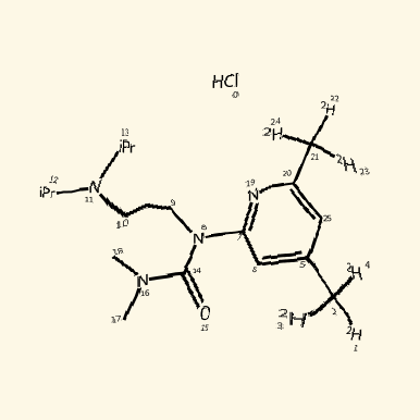 Cl.[2H]C([2H])([2H])c1cc(N(CCN(C(C)C)C(C)C)C(=O)N(C)C)nc(C([2H])([2H])[2H])c1